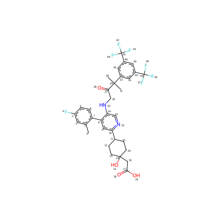 Cc1cc(F)ccc1-c1cc(C2CCC(O)(CC(=O)O)CC2)ncc1NCC(=O)C(C)(C)c1cc(C(F)(F)F)cc(C(F)(F)F)c1